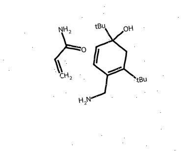 C=CC(N)=O.CC(C)(C)C1=C(CN)C=CC(O)(C(C)(C)C)C1